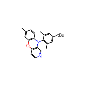 Cc1ccc2c(c1)Oc1ccncc1N2c1c(C)cc(C(C)(C)C)cc1C